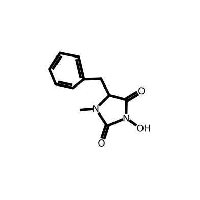 CN1C(=O)N(O)C(=O)C1Cc1ccccc1